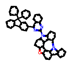 c1ccc(C2(c3ccccc3)c3ccccc3-c3ccc(-c4nc(-n5c6ccc7oc8ccc9c%10ccccc%10n%10c%11cccc5c%11c6c7c8c9%10)nc5ccccc45)cc32)cc1